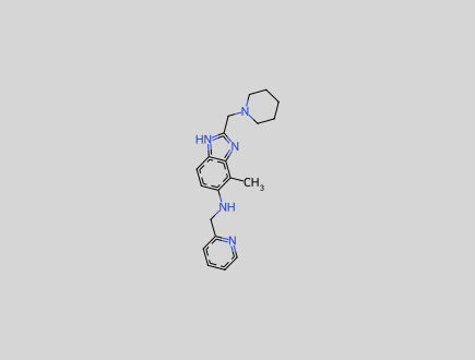 Cc1c(NCc2ccccn2)ccc2[nH]c(CN3CCCCC3)nc12